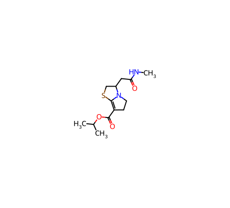 CNC(=O)CC1CSC2=C(C(=O)OC(C)C)CCN21